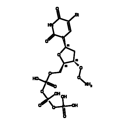 CCc1cn([C@H]2C[C@H](OON)[C@@H](COP(=O)(O)OP(=O)(O)OP(=O)(O)O)O2)c(=O)[nH]c1=O